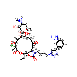 CCC1OC(=O)C(C)(F)C(=O)C(C)[C@@H](OC2OC(C)CC(N(C)C)C2O)[C@@](C)(OC)C[C@@H](C)C(=O)[C@H](C)C2N(CCCCn3cc(-c4cccc(N)c4)nn3)C(=O)O[C@]12C